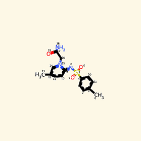 Cc1ccc(S(=O)(=O)/N=c2\ccc(C)cn2CC(N)=O)cc1